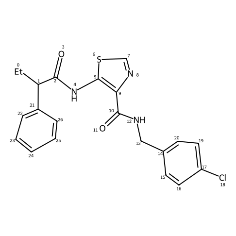 CCC(C(=O)Nc1scnc1C(=O)NCc1ccc(Cl)cc1)c1ccccc1